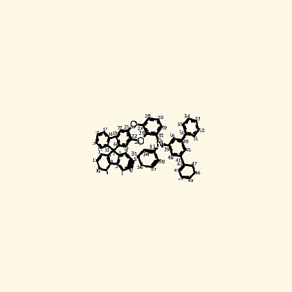 c1cc2c(cc#1)C1(C3=C2CCC=C3)c2ccccc2-c2cc3c(cc21)Oc1c(cccc1N(C1=CCCC=C1)c1cc(C2=CC=CCC2)cc(-c2ccccc2)c1)O3